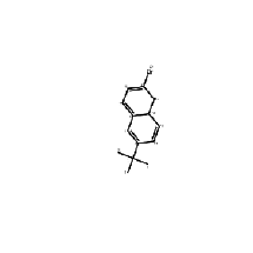 CC(C)(C)C1=CC2=CC=C(Br)CC2C=C1